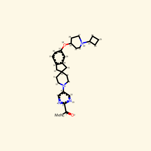 CNC(=O)c1ncc(N2CCC3(CC2)Cc2ccc(OC4CCN(C5CCC5)CC4)cc2C3)cn1